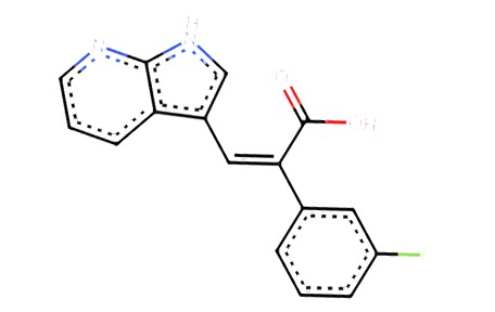 O=C(O)C(=Cc1c[nH]c2ncccc12)c1cccc(F)c1